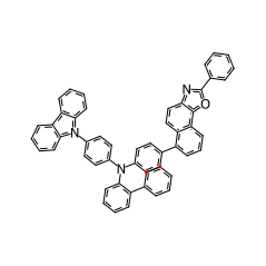 c1ccc(-c2nc3ccc4c(-c5ccc(N(c6ccc(-n7c8ccccc8c8ccccc87)cc6)c6ccccc6-c6ccccc6)cc5)cccc4c3o2)cc1